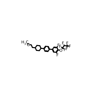 COCCC1CCC(c2ccc(-c3cc(F)c(OC(F)(F)C(F)C(F)(F)F)c(F)c3)cc2)CC1